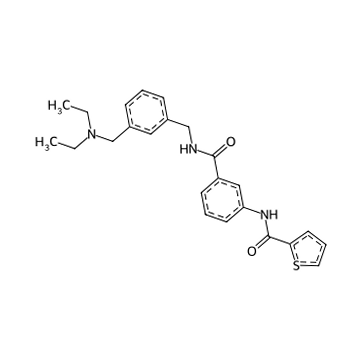 CCN(CC)Cc1cccc(CNC(=O)c2cccc(NC(=O)c3cccs3)c2)c1